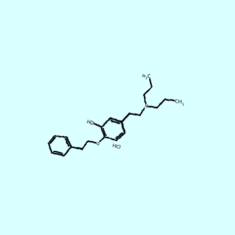 CCCN(CCC)CCc1ccc(OCCc2ccccc2)c(O)c1.Cl